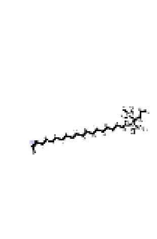 C/C=C\CCCCCCCCCCCCCCCCCOP(=O)(O)C(CCC)[N+](C)(C)C